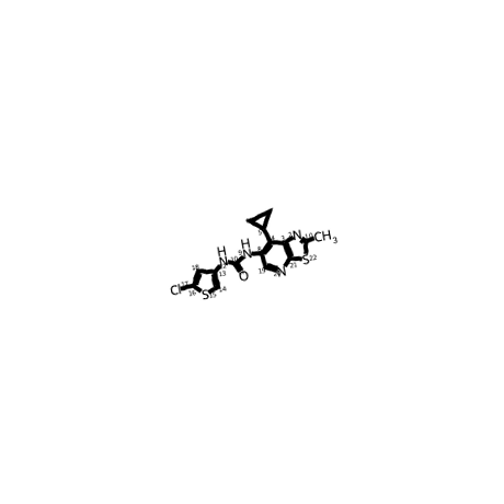 Cc1nc2c(C3CC3)c(NC(=O)Nc3csc(Cl)c3)cnc2s1